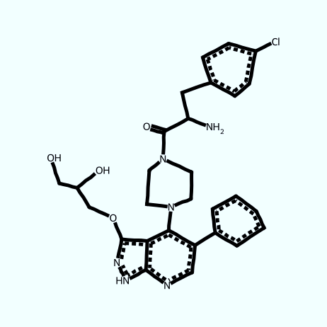 NC(Cc1ccc(Cl)cc1)C(=O)N1CCN(c2c(-c3ccccc3)cnc3[nH]nc(OCC(O)CO)c23)CC1